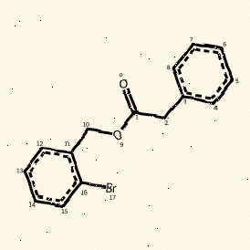 O=C([CH]c1ccccc1)OCc1ccccc1Br